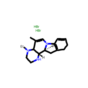 Br.Br.CCN1CCN[C@@H]2C1C(C)=CN1C3=C(CCC=C3)C[C@@]21C(C)C